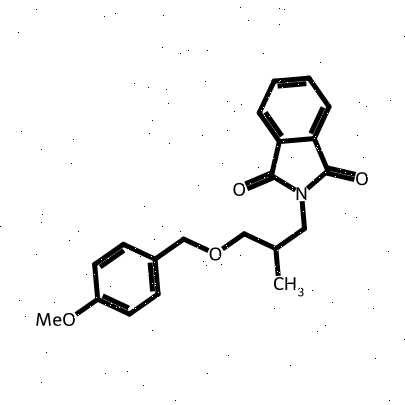 COc1ccc(COCC(C)CN2C(=O)c3ccccc3C2=O)cc1